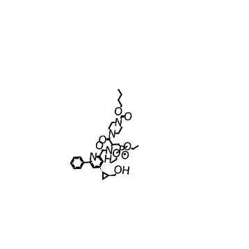 CCCCOC(=O)N1CCN(C(=O)C(CP(=O)(OCC)OCC)NC(=O)c2cc([C@H]3C[C@@H]3CO)cc(-c3ccccc3)n2)CC1